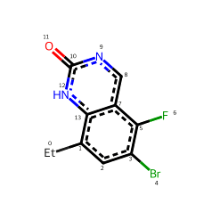 CCc1cc(Br)c(F)c2cnc(=O)[nH]c12